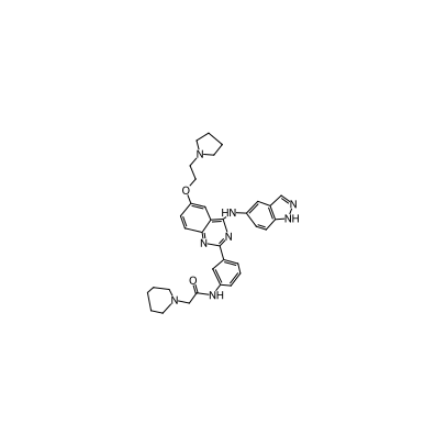 O=C(CN1CCCCC1)Nc1cccc(-c2nc(Nc3ccc4[nH]ncc4c3)c3cc(OCCN4CCCC4)ccc3n2)c1